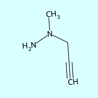 C#CCN(C)N